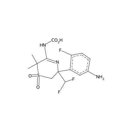 CC1(C)C(NC(=O)O)=NC(c2cc(N)ccc2F)(C(F)F)CS1(=O)=O